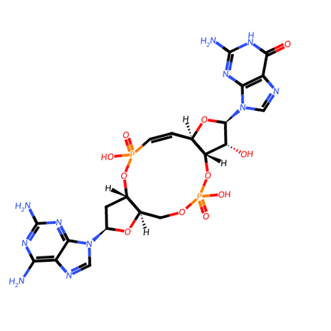 Nc1nc(N)c2ncn([C@H]3C[C@@H]4OP(=O)(O)/C=C\[C@H]5O[C@@H](n6cnc7c(=O)[nH]c(N)nc76)[C@H](O)[C@@H]5OP(=O)(O)OC[C@H]4O3)c2n1